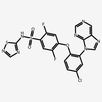 O=S(=O)(Nc1ncns1)c1cc(F)c(Oc2ccc(Cl)cc2-n2cnc3cncnc32)cc1F